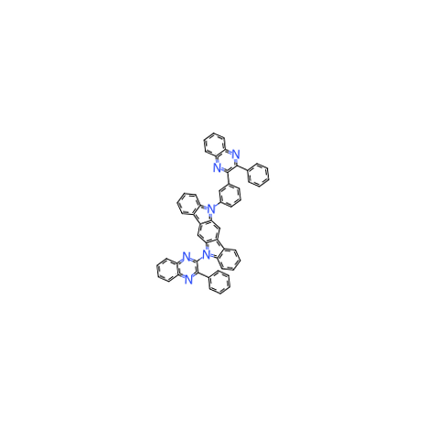 c1ccc(-c2nc3ccccc3nc2-c2cccc(-n3c4ccccc4c4cc5c(cc43)c3ccccc3n5-c3nc4ccccc4nc3-c3ccccc3)c2)cc1